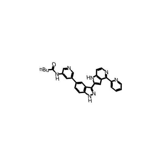 CCCCC(=O)Nc1cncc(-c2ccc3[nH]nc(-c4cc5c(-c6ccccn6)nccc5[nH]4)c3c2)c1